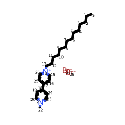 CCCCCCCCCCCCCC[n+]1ccc(-c2cc[n+](C)cc2)cc1.[Br-].[Br-]